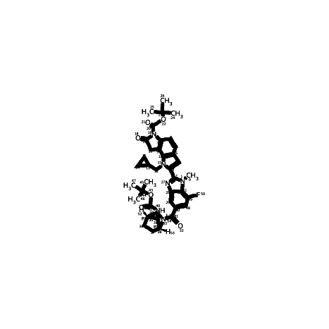 Cn1c(-c2cc3ccc4c(c3n2CC2CC2)CC(=O)N4C(=O)OC(C)(C)C)nc2cc(C(=O)N3C[C@H]4CC[C@@H]3[C@@H]4NC(=O)OC(C)(C)C)cc(F)c21